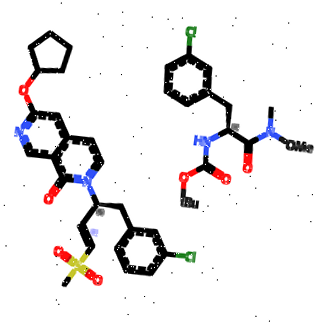 CON(C)C(=O)[C@H](Cc1cccc(Cl)c1)NC(=O)OC(C)(C)C.CS(=O)(=O)/C=C/[C@H](Cc1cccc(Cl)c1)n1ccc2cc(OC3CCCC3)ncc2c1=O